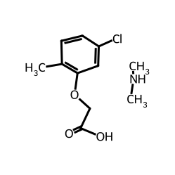 CNC.Cc1ccc(Cl)cc1OCC(=O)O